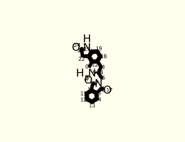 Cc1c(C[C@H](N)CN2C(=O)c3ccccc3C2=O)ccc2c1CC(=O)N2